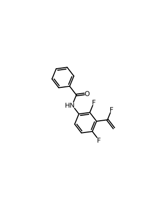 C=C(F)c1c(F)ccc(NC(=O)c2ccccc2)c1F